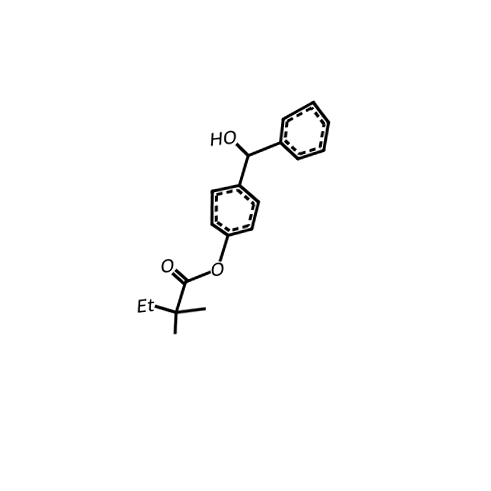 CCC(C)(C)C(=O)Oc1ccc(C(O)c2ccccc2)cc1